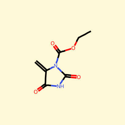 C=C1C(=O)NC(=O)N1C(=O)OCC